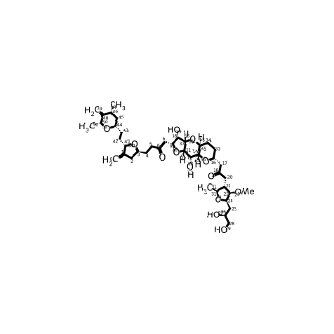 C=C1C[C@H](CCC(=O)C[C@H]2O[C@H]3[C@@H](O)[C@H]4O[C@@H](CC(=O)C[C@@H]5[C@@H](OC)[C@@H](C[C@H](O)CO)O[C@H]5C)CC[C@@H]4O[C@H]3[C@H]2O)O[C@H]1CC[C@H]1C[C@@H](C)C(=C)[C@@H](C)O1